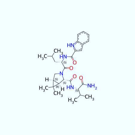 CC(C)C[C@H](NC(=O)c1cc2ccccc2[nH]1)C(=O)N1C[C@H]2[C@@H]([C@H]1C(=O)N[C@H](C(N)=O)C(C)C)C2(C)C